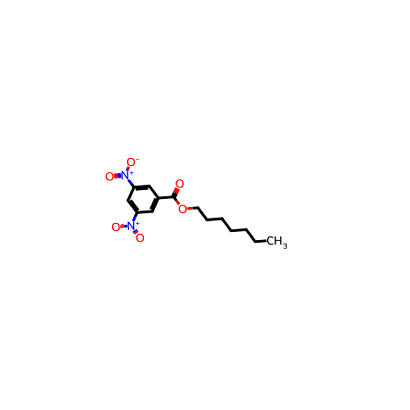 CCCCCCCOC(=O)c1cc([N+](=O)[O-])cc([N+](=O)[O-])c1